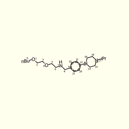 CCCCOCCOCCNCc1ccc(N2CCN(C(C)C)CC2)cc1